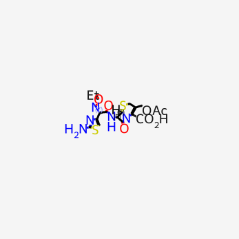 CCO/N=C(\C(=O)N[C@@H]1C(=O)N2C(C(=O)O)=C(COC(C)=O)CS[C@@H]12)c1csc(N)n1